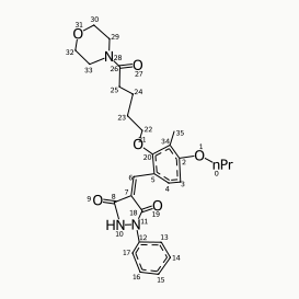 CCCOc1ccc(C=C2C(=O)NN(c3ccccc3)C2=O)c(OCCCCC(=O)N2CCOCC2)c1C